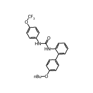 CCCCOc1ccc(-c2ccccc2NC(=O)Nc2ccc(OC(F)(F)F)cc2)cc1